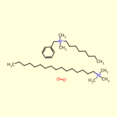 CCCCCCCCCCCCCCCC[N+](C)(C)C.CCCCCCCC[N+](C)(C)Cc1ccccc1.[O-][O-]